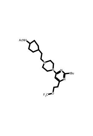 CC(=O)NC1CCC(CCN2CCN(c3cc(CCOC(F)(F)F)nc(C(C)(C)C)n3)CC2)CC1